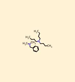 CCCCN(CCCC)CCCC.CN(C)Cc1ccccc1